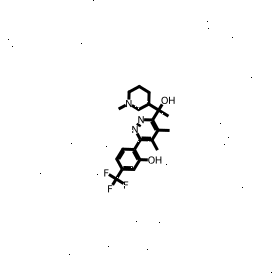 Cc1c(-c2ccc(C(F)(F)F)cc2O)nnc(C(C)(O)C2CCCN(C)C2)c1C